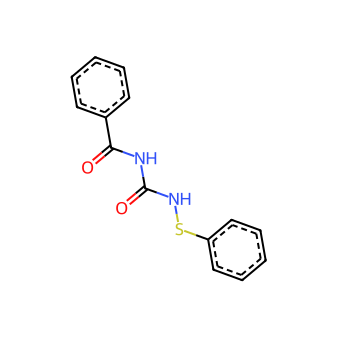 O=C(NSc1ccccc1)NC(=O)c1ccccc1